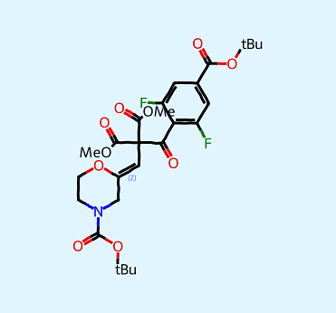 COC(=O)C(/C=C1/CN(C(=O)OC(C)(C)C)CCO1)(C(=O)OC)C(=O)c1c(F)cc(C(=O)OC(C)(C)C)cc1F